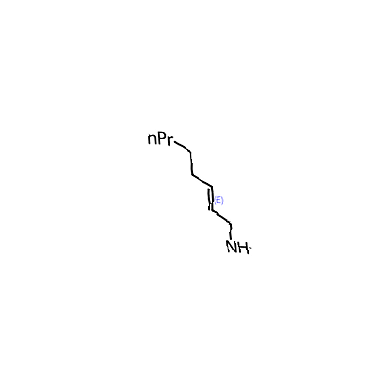 CCCCC/C=C/C[NH]